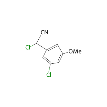 COc1cc(Cl)cc(C(Cl)C#N)c1